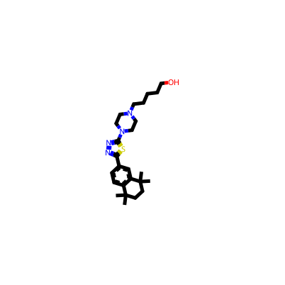 CC1(C)CCC(C)(C)c2cc(-c3nnc(N4CCN(CCCCCO)CC4)s3)ccc21